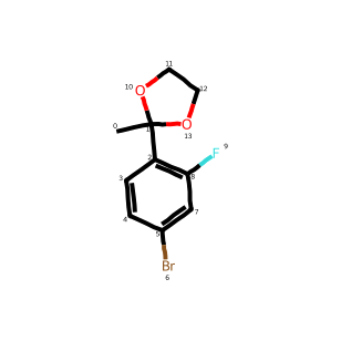 CC1(c2ccc(Br)cc2F)OCCO1